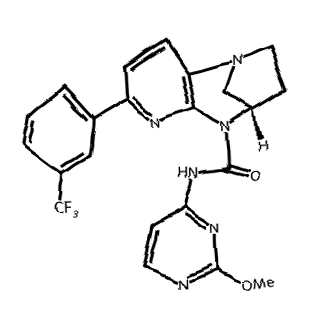 COc1nccc(NC(=O)N2c3nc(-c4cccc(C(F)(F)F)c4)ccc3N3CC[C@H]2C3)n1